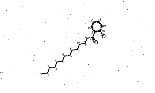 CCCCCCCCCCCCCC(=O)c1ccccc1[O]